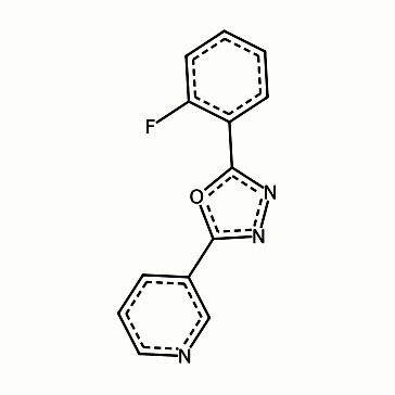 Fc1ccccc1-c1nnc(-c2cccnc2)o1